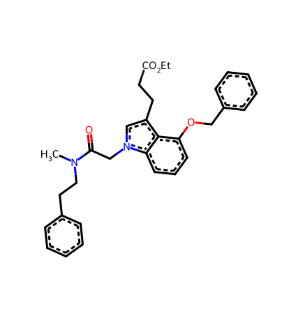 CCOC(=O)CCc1cn(CC(=O)N(C)CCc2ccccc2)c2cccc(OCc3ccccc3)c12